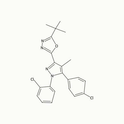 Cc1c(-c2nnc(C(C)(C)C)o2)nn(-c2ccccc2Cl)c1-c1ccc(Cl)cc1